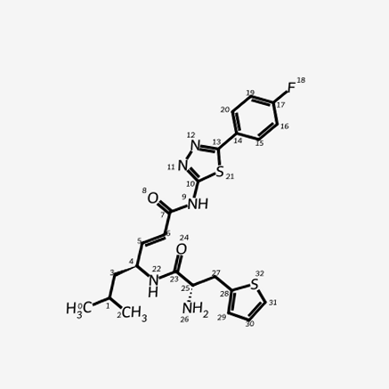 CC(C)C[C@@H](/C=C/C(=O)Nc1nnc(-c2ccc(F)cc2)s1)NC(=O)[C@@H](N)Cc1cccs1